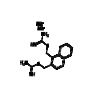 Br.Br.N=C(N)SCc1ccc2ccccc2c1CSC(=N)N